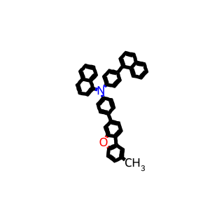 Cc1ccc2oc3cc(-c4ccc(N(c5ccc(-c6cccc7ccccc67)cc5)c5cccc6ccccc56)cc4)ccc3c2c1